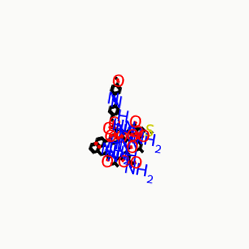 COc1ccc(/N=N/c2ccc(COC(=O)C(NC(=O)C(CC(N)=O)NC(=O)C(CCSC)NC(=O)C(CC(C)C)NC(=O)C(Cc3ccccc3)NC(=O)C(CCC(N)=O)NC(=O)C(NC(=O)C(N)Cc3ccccc3)C(C)C)C(C)OCc3ccccc3)cc2)cc1